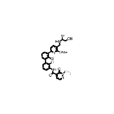 COc1nc(-c2cccc(-c3cccc(NC(=O)c4ccnn(C)c4=O)c3Cl)c2Cl)ccc1CNC(CO)C(C)=O